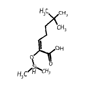 C[SiH](C)OC(=CCCC(C)(C)C)C(=O)O